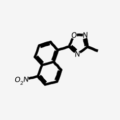 Cc1noc(-c2cccc3c([N+](=O)[O-])cccc23)n1